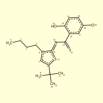 CCCCn1cc(C(C)(C)C)sc1=NC(=S)c1cc(Cl)ccc1O